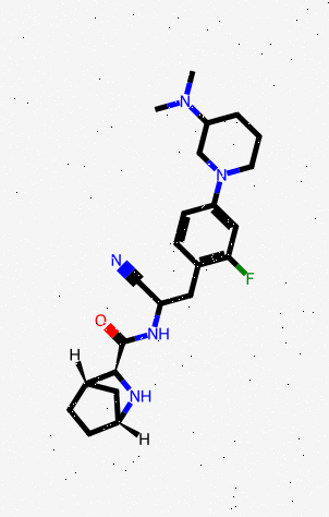 CN(C)C1CCCN(c2ccc(CC(C#N)NC(=O)[C@H]3N[C@@H]4CC[C@H]3C4)c(F)c2)C1